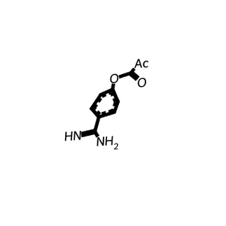 CC(=O)C(=O)Oc1ccc(C(=N)N)cc1